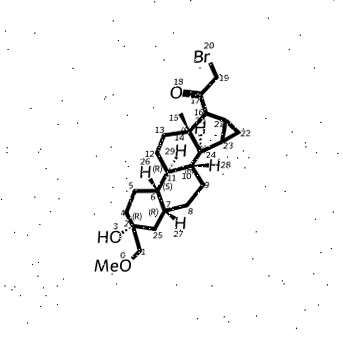 COC[C@@]1(O)CC[C@H]2[C@H](CC[C@@H]3[C@@H]2CC[C@]2(C)C(C(=O)CBr)C4CC4[C@@H]32)C1